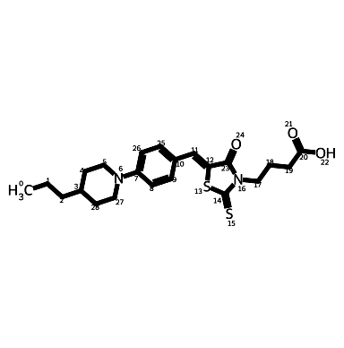 CCCC1CCN(c2ccc(/C=C3\SC(=S)N(CCCC(=O)O)C3=O)cc2)CC1